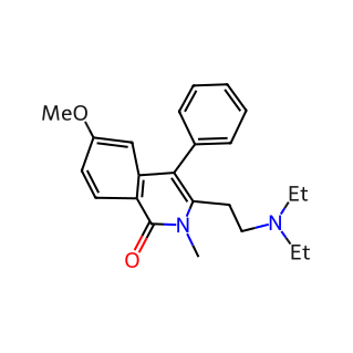 CCN(CC)CCc1c(-c2ccccc2)c2cc(OC)ccc2c(=O)n1C